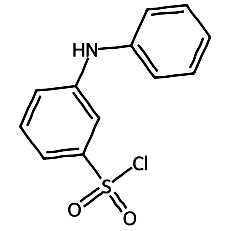 O=S(=O)(Cl)c1cccc(Nc2ccccc2)c1